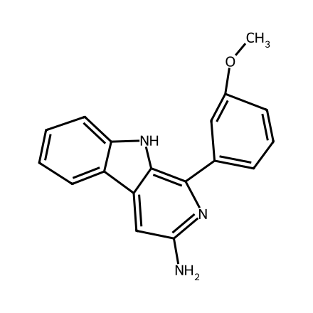 COc1cccc(-c2nc(N)cc3c2[nH]c2ccccc23)c1